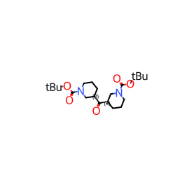 CC(C)(C)OC(=O)N1CCC[C@@H](C(=O)[C@@H]2CCCN(C(=O)OC(C)(C)C)C2)C1